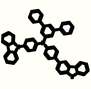 c1ccc(-c2cc(-c3ccccc3)cc(N(c3ccc(-c4ccc5sc6ccccc6c5c4)cc3)c3ccc(-n4c5ccccc5c5ccccc54)cc3)c2)cc1